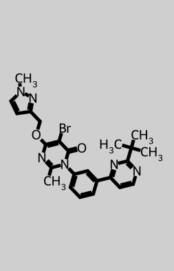 Cc1nc(OCc2ccn(C)n2)c(Br)c(=O)n1-c1cccc(-c2ccnc(C(C)(C)C)n2)c1